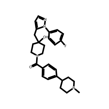 CN1CCC(c2ccc(C(=O)N3CCC(O)(Cc4ccnn4-c4ccc(F)cc4)CC3)cc2)CC1